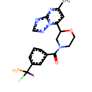 Cc1cc(C2CN(C(=O)c3cccc(C(F)(P)I)c3)CCO2)n2ncnc2n1